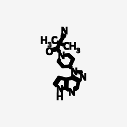 CC(C)(C#N)C(=O)N1CCC(n2cnc3cnc4[nH]ccc4c32)CC1